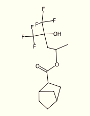 CC(CC(O)(C(F)(F)F)C(F)(F)F)OC(=O)C1CC2CCC1C2